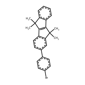 CC1(C)C2=C(c3ccccc31)C(C)(C)c1cc(-c3ccc(Br)cc3)ccc12